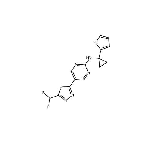 FC(F)c1nnc(-c2cnc(NC3(c4cccs4)CC3)nc2)o1